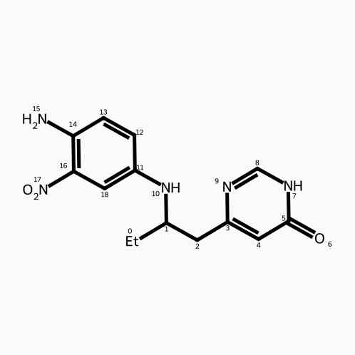 CCC(Cc1cc(=O)[nH]cn1)Nc1ccc(N)c([N+](=O)[O-])c1